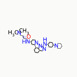 CN(C)C/C=C/C(=O)Nc1ccnc(-c2cccc3cnc(Nc4ccc(N5CCCCC5)cc4)nc23)c1